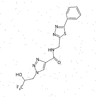 O=C(NCc1nnc(-c2ccccc2)s1)c1cn(CC(O)C(F)(F)F)nn1